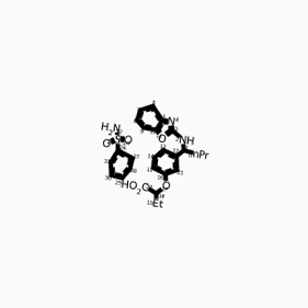 CCCC(Nc1nc2ccccc2o1)c1cccc(OC(CC)C(=O)O)c1.NS(=O)(=O)c1ccccc1